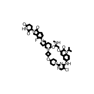 CNC(=O)COc1cc2cc(Nc3nc(N4CCC(O[C@H]5C[C@H](N6CCCC7(CCN(c8ccc9c(c8F)CN(C8CCC(=O)NC8=O)C9=O)C7)C6)C5)CC4)ncc3Cl)ccc2n(C(C)C)c1=O